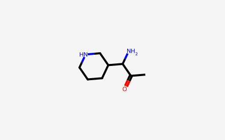 CC(=O)C(N)C1CCCNC1